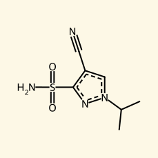 CC(C)n1cc(C#N)c(S(N)(=O)=O)n1